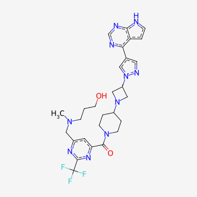 CN(CCCO)Cc1cc(C(=O)N2CCC(N3C[C](n4cc(-c5ncnc6[nH]ccc56)cn4)C3)CC2)nc(C(F)(F)F)n1